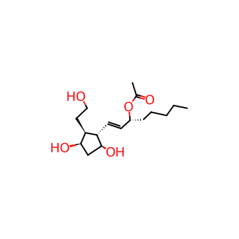 CCCCC[C@H](/C=C/[C@H]1[C@H](CCO)[C@H](O)C[C@@H]1O)OC(C)=O